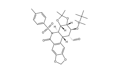 Cc1ccc(S(=O)(=O)N2C(=O)c3cc4c(cc3[C@H]3[C@@H](C=O)[C@H](O[Si](C)(C)C(C)(C)C)[C@H]5OC(C)(C)O[C@H]5[C@@H]32)OCO4)cc1